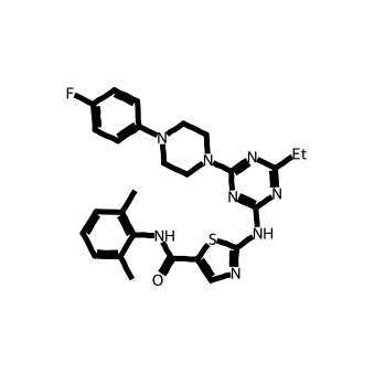 CCc1nc(Nc2ncc(C(=O)Nc3c(C)cccc3C)s2)nc(N2CCN(c3ccc(F)cc3)CC2)n1